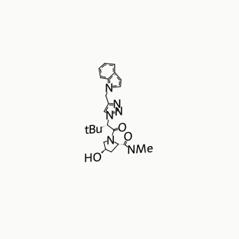 CNC(=O)[C@@H]1C[C@@H](O)CN1C(=O)[C@@H](n1cc(Cn2ccc3ccccc32)nn1)C(C)(C)C